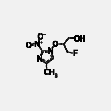 Cc1cn(OC(CO)CF)c([N+](=O)[O-])n1